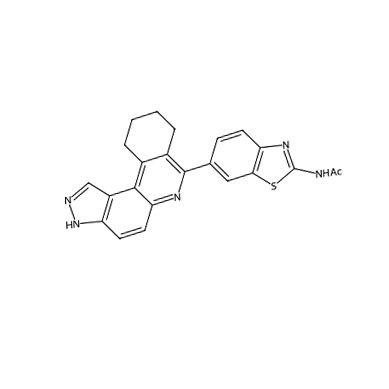 CC(=O)Nc1nc2ccc(-c3nc4ccc5[nH]ncc5c4c4c3CCCC4)cc2s1